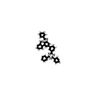 c1ccc(-c2nc(-c3ccccc3)nc(-c3cccc(-c4cc5c6c(c4)nc(-c4ccccc4)n6Cc4ccccc4-5)c3)n2)cc1